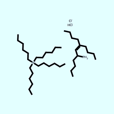 CCCCC(=CC(P)CCCC)CCCC.CCCCCC[N+](CCCCCC)(CCCCCC)CCCCCC.Cl.[Cl-]